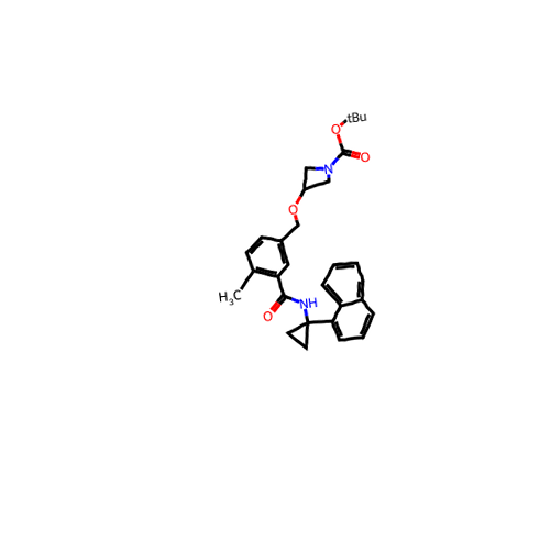 Cc1ccc(COC2CN(C(=O)OC(C)(C)C)C2)cc1C(=O)NC1(c2cccc3ccccc23)CC1